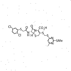 CSc1nc(C)cc(SCSC2=C(C(=O)O)N3C(=O)[C@@H](NC(=O)CSc4cc(Cl)ccc4Cl)[C@H]3SC2)n1